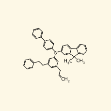 C=CCc1cc(CCc2ccccc2)cc(N(c2ccc(-c3ccccc3)cc2)c2ccc3c(c2)C(C)(C)c2ccccc2-3)c1